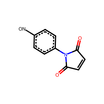 O=Nc1ccc(N2C(=O)C=CC2=O)cc1